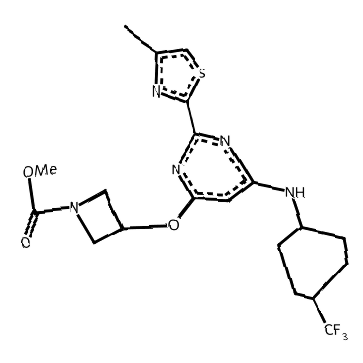 COC(=O)N1CC(Oc2cc(NC3CCC(C(F)(F)F)CC3)nc(-c3nc(C)cs3)n2)C1